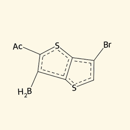 Bc1c(C(C)=O)sc2c(Br)csc12